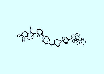 CC(C)(C)OC(=O)c1ccc(N2CCC(CN3CCN(c4cccc(C(=O)NC5CCC(=O)NC5=O)n4)CC3)CC2)nc1